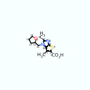 Cc1c(C(=O)O)sc2nc(C)n(CC3CCCO3)c12